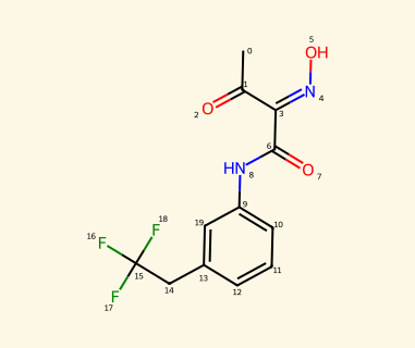 CC(=O)/C(=N\O)C(=O)Nc1cccc(CC(F)(F)F)c1